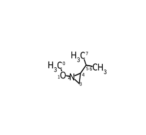 CON1CC1C(C)C